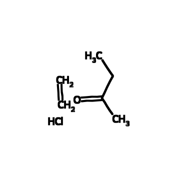 C=C.CCC(C)=O.Cl